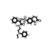 CCN(CCNC(=O)C(NS(=O)(=O)c1ccc2c(c1)CCC(=O)N2)c1ccccc1)c1ccccc1